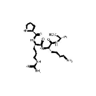 CC(C)[C@H](NC(=O)[C@H](CCCCN)NC(=O)[C@H](CCCNC(=N)N)NC(=O)[C@@H]1CCCN1)C(=O)O